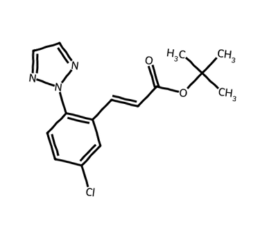 CC(C)(C)OC(=O)/C=C/c1cc(Cl)ccc1-n1nccn1